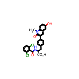 Cn1c(=O)c(-c2ccc(C[C@H](NC(=O)c3c(Cl)cccc3Cl)C(=O)O)cc2)cc2cc(O)ccc21